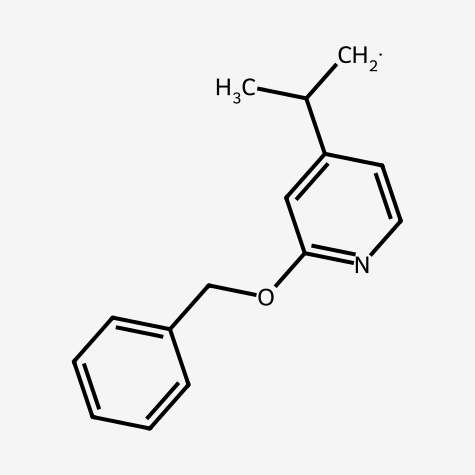 [CH2]C(C)c1ccnc(OCc2ccccc2)c1